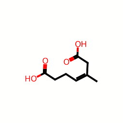 CC(=CCCC(=O)O)CC(=O)O